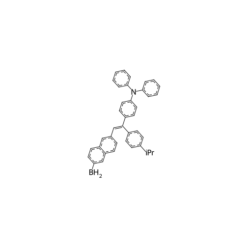 Bc1ccc2cc(/C=C(\c3ccc(C(C)C)cc3)c3ccc(N(c4ccccc4)c4ccccc4)cc3)ccc2c1